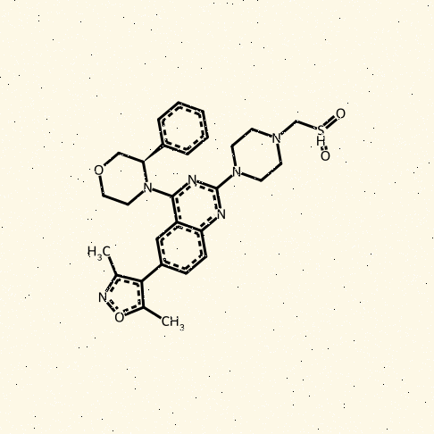 Cc1noc(C)c1-c1ccc2nc(N3CCN(C[SH](=O)=O)CC3)nc(N3CCOC[C@H]3c3ccccc3)c2c1